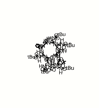 CC(C)C[C@@H]1NC(=O)[C@@H](Cc2ccccc2)NC(=O)[C@H](CCNC(=O)OC(C)(C)C)NC(=O)[C@@H](NC(=O)[C@H](CCNC(=O)OC(C)(C)C)NC(=O)[C@@H](NC(=O)[C@H](CCNC(=O)OC(C)(C)C)NC(=O)CP2(=O)OCC(C)(C)CO2)C(C)O)CCNC(=O)[C@H]([C@H](C)O)NC(=O)[C@H](CCNC(=O)OC(C)(C)C)NC(=O)[C@H](CCNC(=O)OC(C)(C)C)NC1=O